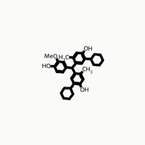 COc1cc(C(c2cc(C3CCCCC3)c(O)cc2C)c2cc(C3CCCCC3)c(O)cc2C)ccc1O